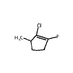 CC1CCC(F)=C1Cl